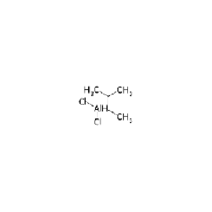 CCC(C)C.[Cl][AlH][Cl]